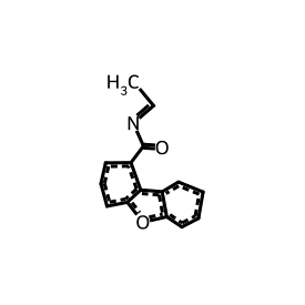 C/C=N/C(=O)c1cccc2oc3ccccc3c12